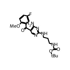 COc1ccc(F)cc1C(=O)c1cnc(NCCCNC(=O)OC(C)(C)C)nc1N